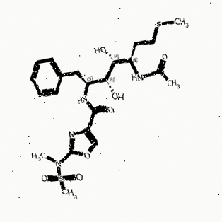 CSCC[C@@H](NC(C)=O)[C@@H](O)[C@H](O)[C@H](Cc1ccccc1)NC(=O)c1coc(N(C)S(C)(=O)=O)n1